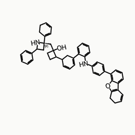 OC1(C[C@@]2(C3=CC=CCC3)CC(c3ccccc3)N2)CCC1C1C=CC=C(c2ccccc2Nc2ccc(-c3cccc4c5c(oc34)CCC=C5)cc2)C1